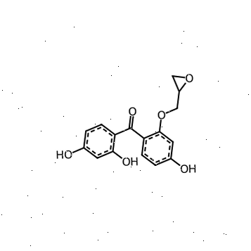 O=C(c1ccc(O)cc1O)c1ccc(O)cc1OCC1CO1